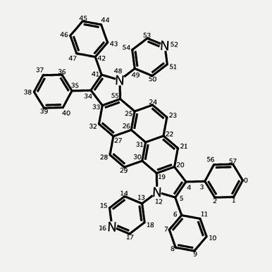 c1ccc(-c2c(-c3ccccc3)n(-c3ccncc3)c3c2cc2ccc4c5c(ccc3c25)cc2c(-c3ccccc3)c(-c3ccccc3)n(-c3ccncc3)c24)cc1